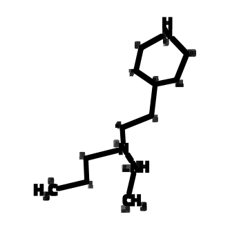 CCCN(CCC1CCNCC1)NC